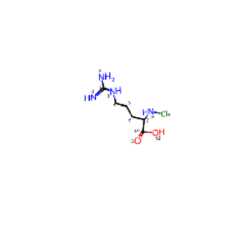 N=C(N)NCCCC(NCl)C(=O)O